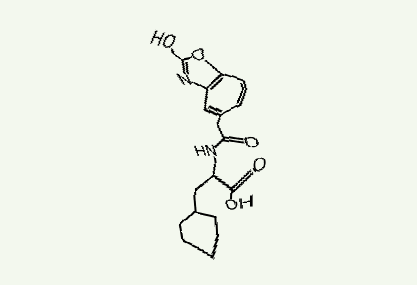 O=C(NC(CC1CCCCC1)C(=O)O)c1ccc2oc(O)nc2c1